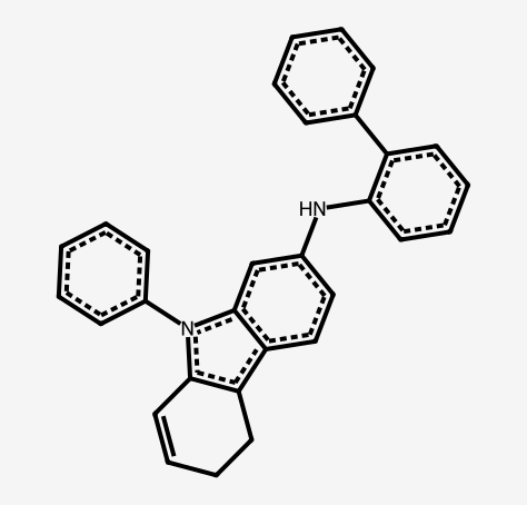 C1=Cc2c(c3ccc(Nc4ccccc4-c4ccccc4)cc3n2-c2ccccc2)CC1